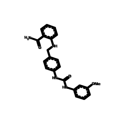 COc1cccc(NC(=O)Nc2ccc(CNc3ccccc3C(N)=O)cc2)c1